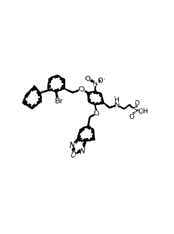 O=[N+]([O-])c1cc(CNCCS(=O)(=O)O)c(OCc2ccc3nonc3c2)cc1OCc1cccc(-c2ccccc2)c1Br